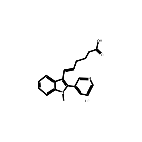 Cl.Cn1c(-c2cccnc2)c(C=CCCCC(=O)O)c2ccccc21